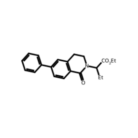 CCOC(=O)C(CC)N1CCc2cc(-c3ccccc3)ccc2C1=O